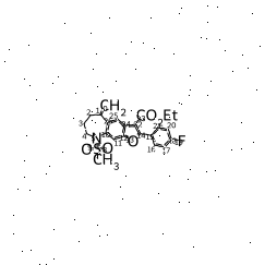 C=C1CCCN(S(C)(=O)=O)c2cc3oc(-c4ccc(F)cc4)c(C(=O)OCC)c3cc21